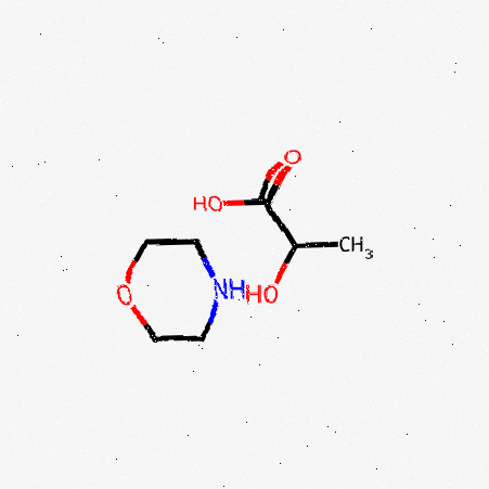 C1COCCN1.CC(O)C(=O)O